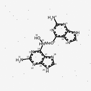 COc1nc(N)nc2[nH]cnc12.Nc1nc(NO)c2nc[nH]c2n1